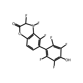 O=C1Oc2ccc(-c3c(F)c(F)c(O)c(F)c3F)c(F)c2N(F)C1F